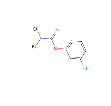 CCN(CC)C(=O)Oc1cccc(Cl)c1